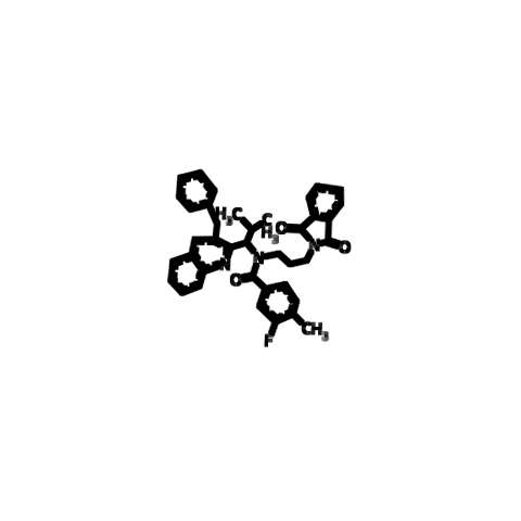 Cc1ccc(C(=O)N(CCCN2C(=O)c3ccccc3C2=O)C(c2nc3ccccc3cc2Cc2ccccc2)C(C)C)cc1F